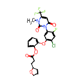 Cn1c(C(F)(F)F)cc(=O)n(-c2cc(Oc3ccccc3OC(=O)CCC3CCCO3)c(Cl)cc2F)c1=O